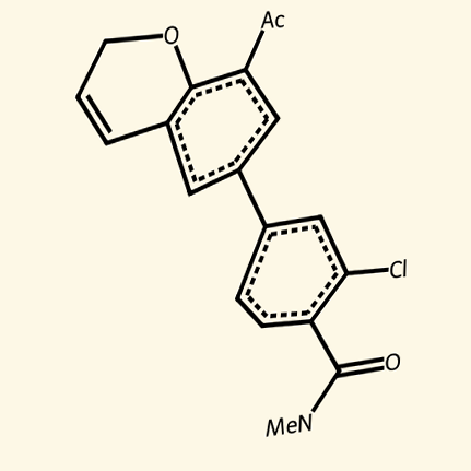 CNC(=O)c1ccc(-c2cc3c(c(C(C)=O)c2)OCC=C3)cc1Cl